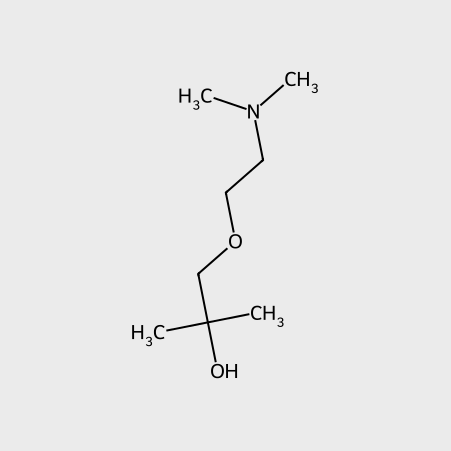 CN(C)CCOCC(C)(C)O